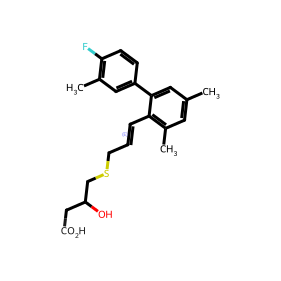 Cc1cc(C)c(/C=C/CSCC(O)CC(=O)O)c(-c2ccc(F)c(C)c2)c1